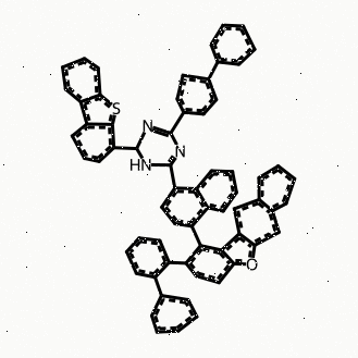 c1ccc(-c2ccc(C3=NC(c4cccc5c4sc4ccccc45)NC(c4ccc(-c5c(-c6ccccc6-c6ccccc6)ccc6oc7cc8ccccc8cc7c56)c5ccccc45)=N3)cc2)cc1